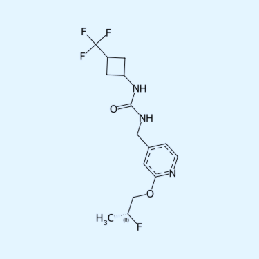 C[C@@H](F)COc1cc(CNC(=O)NC2CC(C(F)(F)F)C2)ccn1